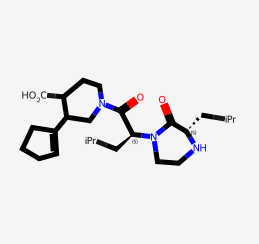 CC(C)C[C@@H]1NCCN([C@@H](CC(C)C)C(=O)N2CCC(C(=O)O)C(C3=CCCC3)C2)C1=O